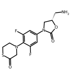 NC[C@H]1CN(c2cc(F)c(N3CCSC(=O)C3)c(F)c2)C(=O)O1